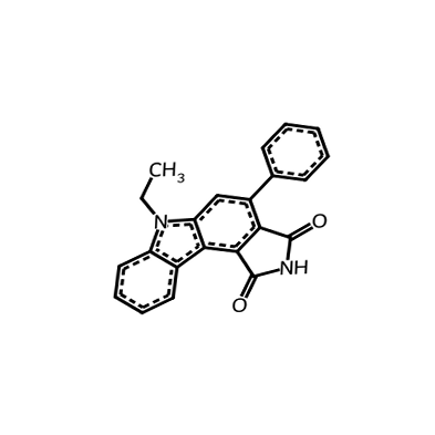 CCn1c2ccccc2c2c3c(c(-c4ccccc4)cc21)C(=O)NC3=O